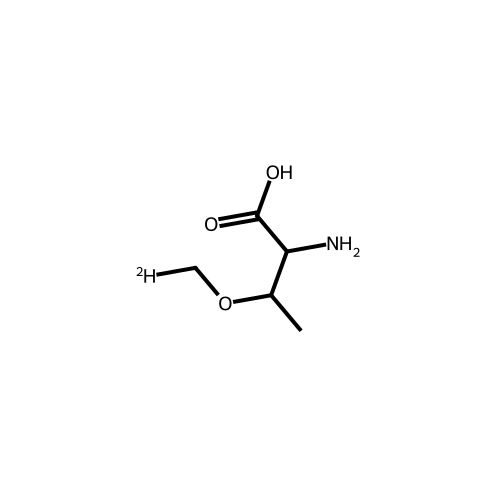 [2H]COC(C)C(N)C(=O)O